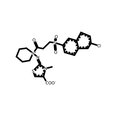 Cn1c(C(=O)[O-])cs/c1=N\[N+]1(C(=O)CCS(=O)(=O)c2ccc3cc(Cl)ccc3c2)CCCCC1